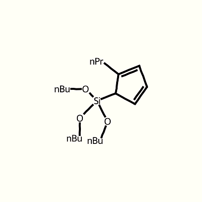 CCCCO[Si](OCCCC)(OCCCC)C1C=CC=C1CCC